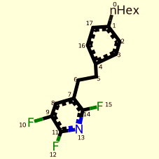 CCCCCCc1ccc(CCc2cc(F)c(F)nc2F)cc1